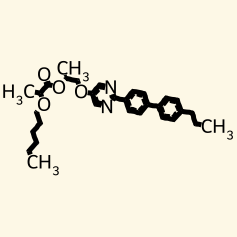 CCCCCCOC(C)C(=O)O[C@@H](C)COc1cnc(-c2ccc(-c3ccc(CCC)cc3)cc2)nc1